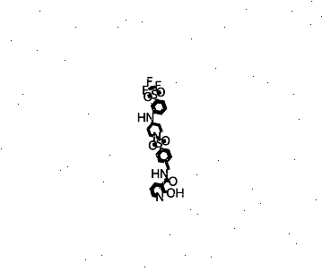 O=C(NCc1ccc(S(=O)(=O)N2CCC(Nc3cccc(S(=O)(=O)C(F)(F)F)c3)CC2)cc1)c1cccnc1O